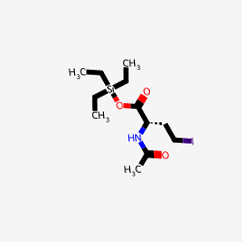 CC[Si](CC)(CC)OC(=O)[C@H](CCI)NC(C)=O